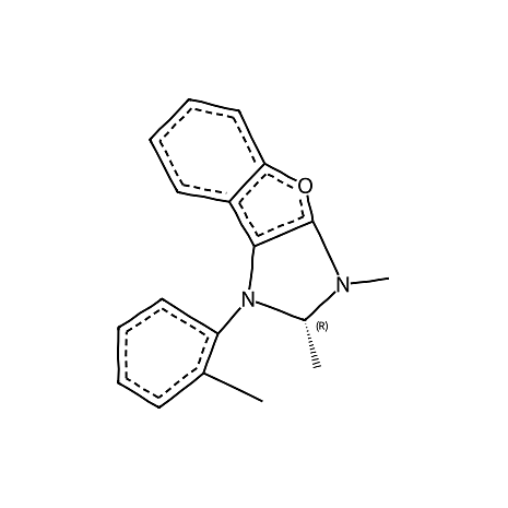 Cc1ccccc1N1c2c(oc3ccccc23)N(C)[C@@H]1C